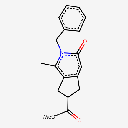 COC(=O)C1Cc2cc(=O)n(Cc3ccccc3)c(C)c2C1